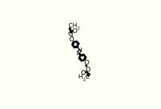 C=CC(=O)OCOc1ccc(/N=N/c2ccc(OCOC(=O)C=C)cc2)cc1